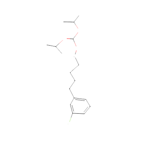 CC(C)OC(O[SiH2]CCCCc1cccc(F)c1)OC(C)C